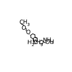 C=C(/C=C1/CC[C@@H](COCCOCCC)C/C1=C/C)[C@H]1CC[C@](N)(CO)C1